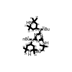 CCCCN(c1nc(NC(C)(C)CC(C)(C)C)nc(N(CCCC)C2CC(C)(C)NC(C)(C)C2)n1)C1CC(C)(C)NC(C)(C)C1